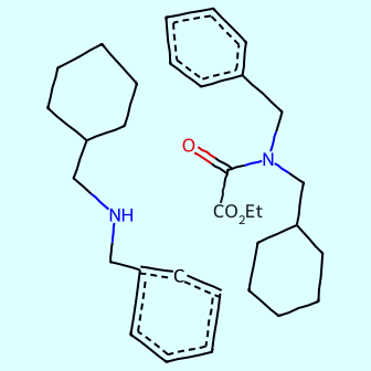 CCOC(=O)C(=O)N(Cc1ccccc1)CC1CCCCC1.c1ccc(CNCC2CCCCC2)cc1